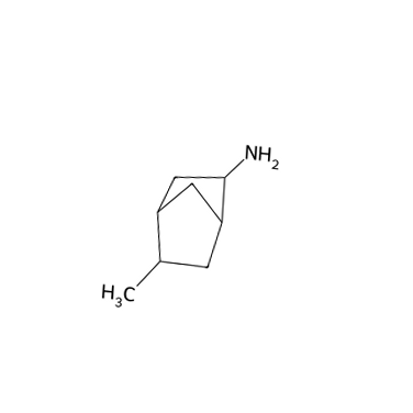 CC1CC2CC1CC2N